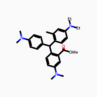 CCN(CC)c1ccc(C(c2ccc(N(C)C)cc2)c2ccc(N(C)C)cc2C(=O)OC)c(C)c1